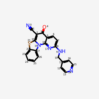 N#Cc1c(=O)c2ccc(NCc3ccncc3)nc2n2c1sc1ccccc12